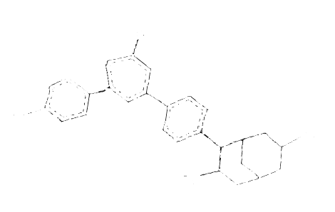 CC1CC2CC(C)C(c3ccc(-c4cc(Cl)cc(-c5ccc(Br)cc5)c4)cc3)C(C1)C2